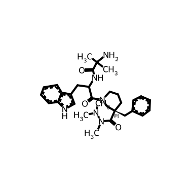 CN(C)N(C)C(=O)[C@@]1(Cc2ccccc2)CCCN(C(=O)C(Cc2c[nH]c3ccccc23)NC(=O)C(C)(C)N)C1